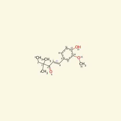 CCC(C)(C)C(=O)/C=C/c1ccc(O)c(OC)c1